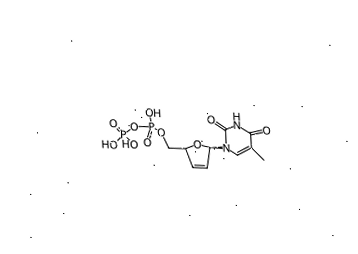 Cc1cn([C@H]2C=CC(COP(=O)(O)OP(=O)(O)O)O2)c(=O)[nH]c1=O